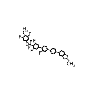 CCC1Cc2ccc(-c3ccc(-c4ccc(-c5cc(F)c(C(F)(F)Oc6cc(F)c(C)c(F)c6)c(F)c5)c(F)c4)cc3)cc2C1